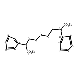 CCOC(=O)N(CCOCCN(C(=O)OCC)c1ccccc1)c1ccccc1